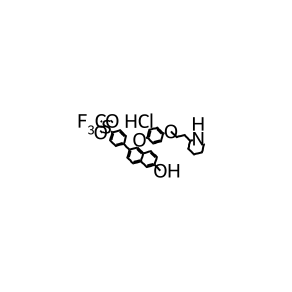 Cl.O=S(=O)(c1ccc(-c2ccc3cc(O)ccc3c2Oc2ccc(OCCC3CCCCN3)cc2)cc1)C(F)(F)F